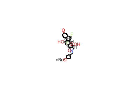 CCCCOc1ccc(CN2C[C@@H]3C[C@H]4[C@@H]5C[C@H](F)C6=CC(=O)C=C[C@]6(C)[C@@]5(F)[C@@H](O)C[C@]4(C)[C@]3(C(=O)CO)O2)cc1